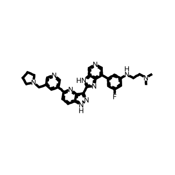 CN(C)CCNc1cc(F)cc(-c2cncc3[nH]c(-c4n[nH]c5ccc(-c6cncc(CN7CCCC7)c6)nc45)nc23)c1